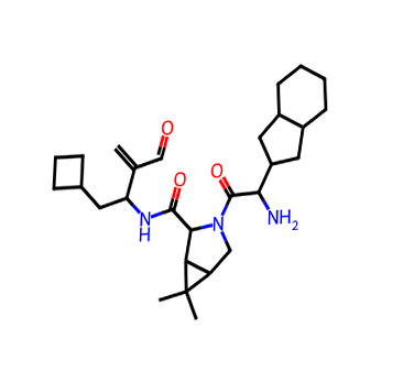 C=C(C=O)C(CC1CCC1)NC(=O)C1C2C(CN1C(=O)C(N)C1CC3CCCCC3C1)C2(C)C